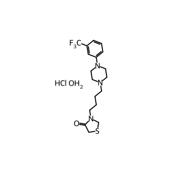 Cl.O.O=C1CSCN1CCCCN1CCN(c2cccc(C(F)(F)F)c2)CC1